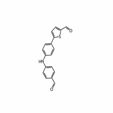 O=Cc1ccc(Nc2ccc(-c3ccc(C=O)s3)cc2)cc1